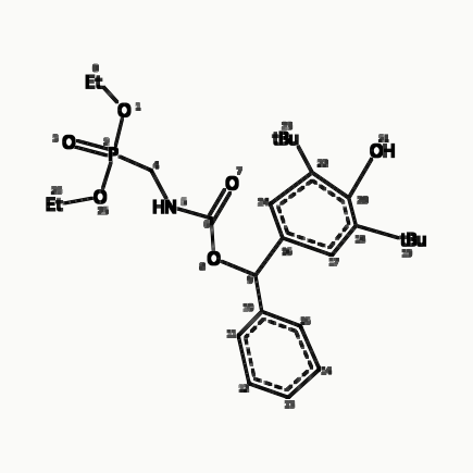 CCOP(=O)(CNC(=O)OC(c1ccccc1)c1cc(C(C)(C)C)c(O)c(C(C)(C)C)c1)OCC